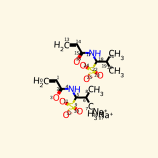 C=CC(=O)NC(C(C)C)S(=O)(=O)[O-].C=CC(=O)NC(C(C)C)S(=O)(=O)[O-].[Na+].[Na+]